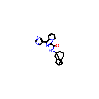 O=C(NC12CCCC3CC(CC3C1)C2)c1nc(-c2cncnc2)c2ccccn12